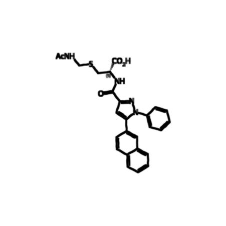 CC(=O)NCSC[C@@H](NC(=O)c1cc(-c2ccc3ccccc3c2)n(-c2ccccc2)n1)C(=O)O